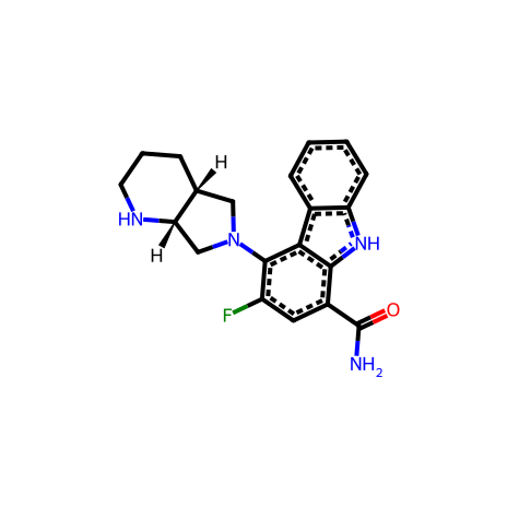 NC(=O)c1cc(F)c(N2C[C@H]3CCCN[C@H]3C2)c2c1[nH]c1ccccc12